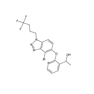 CC(O)c1cccnc1Oc1ccc2c(nnn2CCCC(F)(F)F)c1Br